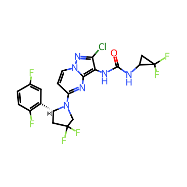 O=C(Nc1c(Cl)nn2ccc(N3CC(F)(F)C[C@@H]3c3cc(F)ccc3F)nc12)NC1CC1(F)F